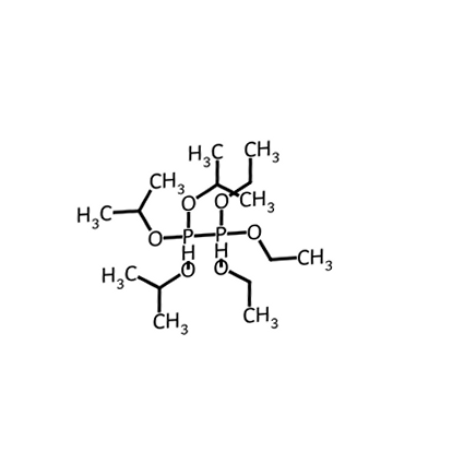 CCO[PH](OCC)(OCC)[PH](OC(C)C)(OC(C)C)OC(C)C